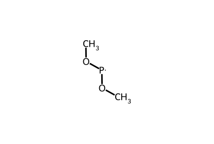 CO[P]OC